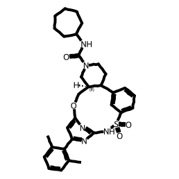 Cc1cccc(C)c1-c1cc2nc(n1)NS(=O)(=O)c1cccc(c1)C1CCN(C(=O)NC3CCCCCC3)C[C@@H]1CO2